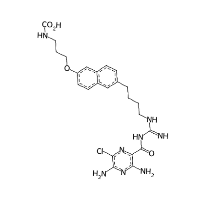 N=C(NCCCCc1ccc2cc(OCCCNC(=O)O)ccc2c1)NC(=O)c1nc(Cl)c(N)nc1N